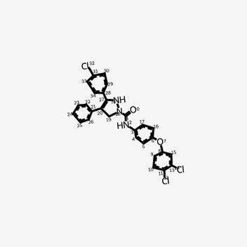 O=C(Nc1ccc(Oc2ccc(Cl)c(Cl)c2)cc1)N1CC(c2ccccc2)=C(c2ccc(Cl)cc2)N1